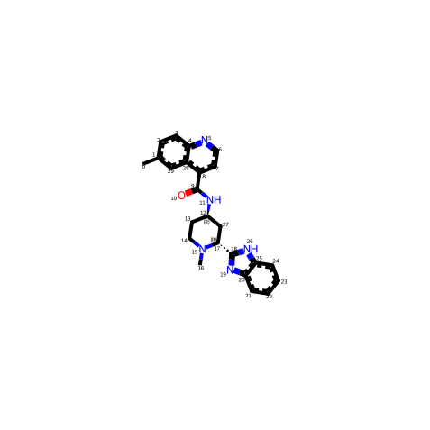 Cc1ccc2nccc(C(=O)N[C@@H]3CCN(C)[C@@H](c4nc5ccccc5[nH]4)C3)c2c1